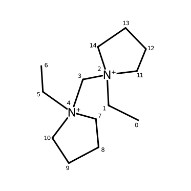 CC[N+]1(C[N+]2(CC)CCCC2)CCCC1